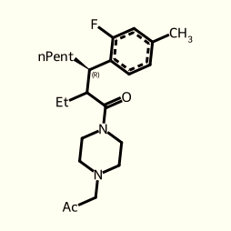 CCCCC[C@@H](c1ccc(C)cc1F)C(CC)C(=O)N1CCN(CC(C)=O)CC1